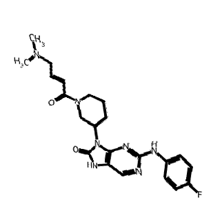 CN(C)CC=CC(=O)N1CCCC(n2c(=O)[nH]c3cnc(Nc4ccc(F)cc4)nc32)C1